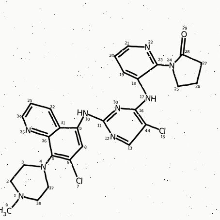 CN1CCN(c2c(Cl)cc(Nc3ncc(Cl)c(Nc4cccnc4N4CCCC4=O)n3)c3cccnc23)CC1